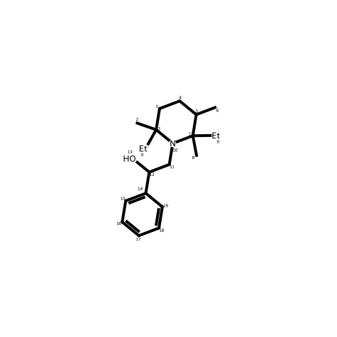 CCC1(C)CCC(C)C(C)(CC)N1CC(O)c1ccccc1